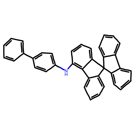 c1ccc(-c2ccc(Nc3cccc4c3-c3ccccc3C43c4ccccc4-c4ccccc43)cc2)cc1